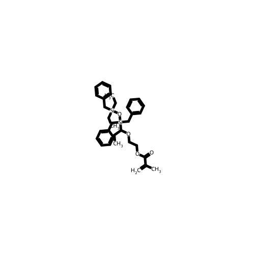 C=C(C)C(=O)OCCOC(CC)[Si](Cc1ccccc1)(Cc1ccccc1)O[Si](CC)(CC)Cc1ccccc1